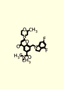 CC1CN(c2cc(=O)c3cc(C(=O)N(C)C)cc(CN4CCc5c(F)cc(F)cc54)c3o2)CCO1